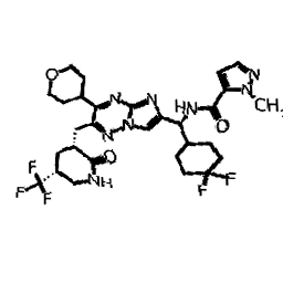 Cn1nccc1C(=O)N[C@H](c1cn2nc(C[C@H]3C[C@@H](C(F)(F)F)CNC3=O)c(C3CCOCC3)nc2n1)C1CCC(F)(F)CC1